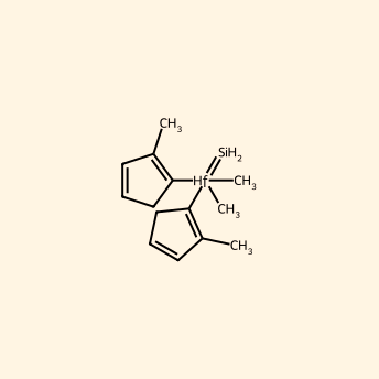 CC1=[C]([Hf]([CH3])([CH3])(=[SiH2])[C]2=C(C)C=CC2)CC=C1